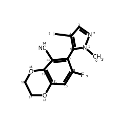 Cn1ncc(I)c1-c1c(F)cc2c(c1C#N)OCCO2